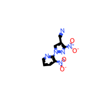 N#Cc1cn(-c2ncccc2[N+](=O)[O-])nc1[N+](=O)[O-]